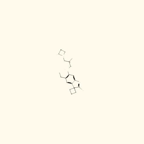 CCc1cc2c(cc1OCC(C)CN1CCC1)N=C(N)C21CCC1